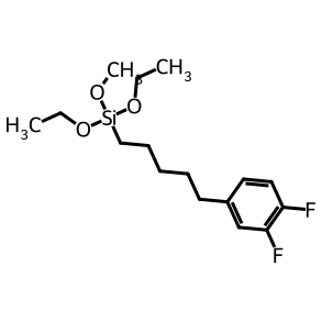 CCO[Si](CCCCCc1ccc(F)c(F)c1)(OC)OCC